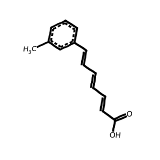 Cc1cccc(C=C/C=C/C=C/C(=O)O)c1